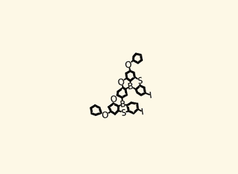 Ic1ccc2c(c1)Sc1cc(Oc3ccccc3)cc3c1B2c1cc2c(cc1O3)Oc1cc(Oc3ccccc3)cc3c1B2c1ccc(I)cc1S3